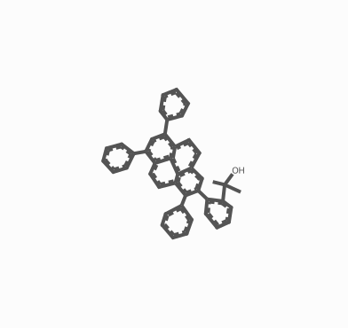 CC(C)(O)c1ccccc1-c1cc2ccc3c(-c4ccccc4)cc(-c4ccccc4)c4ccc(c1-c1ccccc1)c2c34